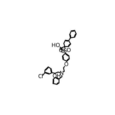 O=C(O)C1(S(=O)(=O)c2ccc(OCCN(Cc3ccccc3)C[C@H](O)c3cccc(Cl)c3)cc2)C=CC(c2ccccc2)=CC1